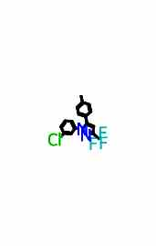 Cc1ccc(-c2cc(C(F)(F)F)nn2-c2cccc(Cl)c2)cc1